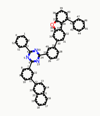 c1ccc(-c2nc(-c3cccc(-c4ccc5ccccc5c4)c3)nc(-c3cccc(-c4ccc5c(c4)oc4cccc(-c6ccccc6)c45)c3)n2)cc1